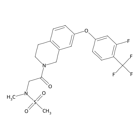 CN(CC(=O)N1CCc2ccc(Oc3ccc(C(F)(F)F)c(F)c3)cc2C1)S(C)(=O)=O